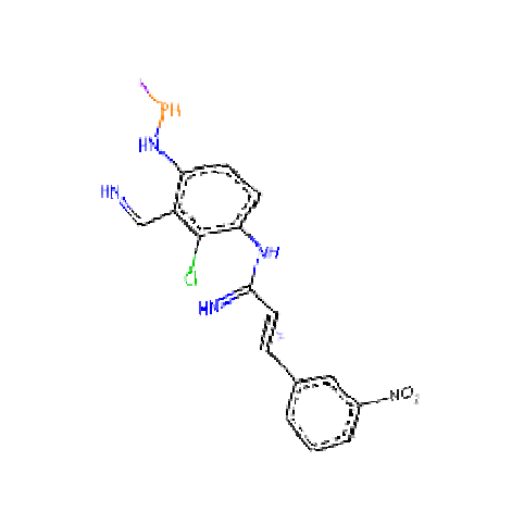 N=Cc1c(NPI)ccc(NC(=N)/C=C/c2cccc([N+](=O)[O-])c2)c1Cl